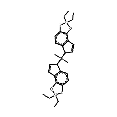 CC[Si]1(CC)Oc2ccc3c(c2O1)C=CC3[Si](C)(C)C1C=Cc2c1ccc1c2O[Si](CC)(CC)O1